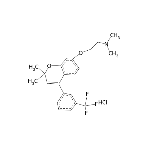 CN(C)CCOc1ccc2c(c1)OC(C)(C)C=C2c1cccc(C(F)(F)F)c1.Cl